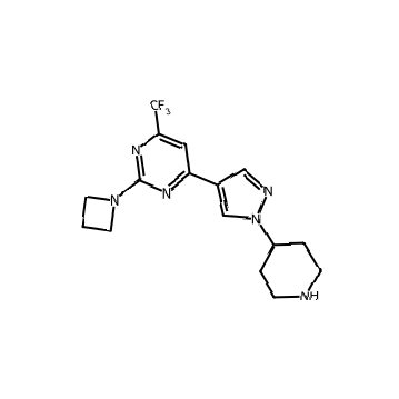 FC(F)(F)c1cc(-c2cnn(C3CCNCC3)c2)nc(N2CCC2)n1